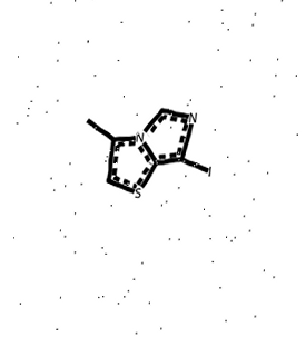 Cc1csc2c(I)ncn12